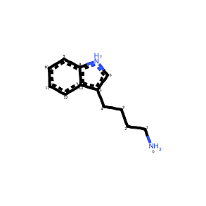 NCCCCc1c[nH]c2ccccc12